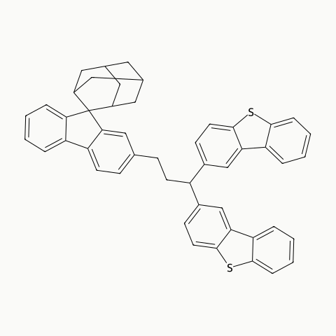 c1ccc2c(c1)-c1ccc(CCC(c3ccc4sc5ccccc5c4c3)c3ccc4sc5ccccc5c4c3)cc1C21C2CC3CC(C2)CC1C3